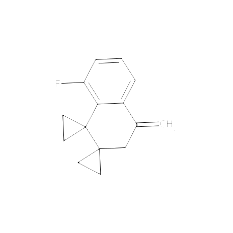 C=C1CC2(CC2)C2(CC2)c2c(F)cccc21